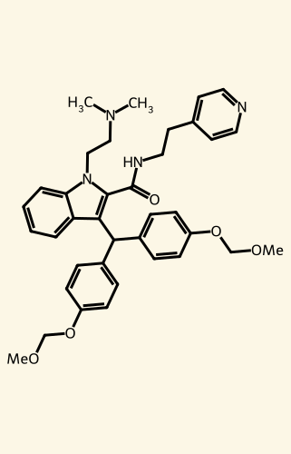 COCOc1ccc(C(c2ccc(OCOC)cc2)c2c(C(=O)NCCc3ccncc3)n(CCN(C)C)c3ccccc23)cc1